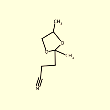 CC1COC(C)(CCC#N)O1